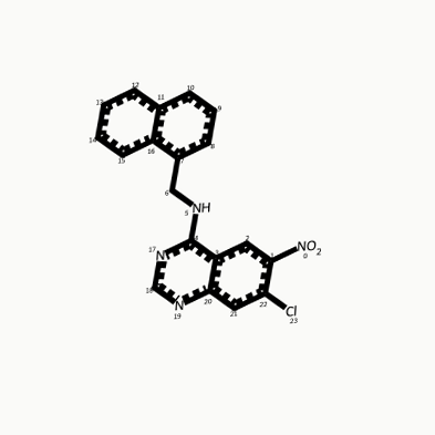 O=[N+]([O-])c1cc2c(NCc3cccc4ccccc34)ncnc2cc1Cl